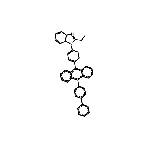 CCC1=NC2C=CC=CC2N1C1=CC=C(c2c3ccccc3c(-c3ccc(-c4ccccc4)cc3)c3ccccc23)CC1